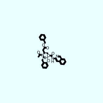 CC(=O)N(NCc1ccccc1Cl)[C@H](COC(=O)Nc1cc2ccccc2cn1)CC(=O)OCc1ccccc1